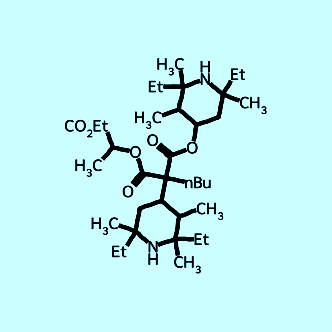 CCCCC(C(=O)OC(C)C(=O)OCC)(C(=O)OC1CC(C)(CC)NC(C)(CC)C1C)C1CC(C)(CC)NC(C)(CC)C1C